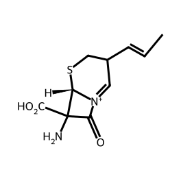 CC=CC1C=[N+]2C(=O)C(N)(C(=O)O)[C@@H]2SC1